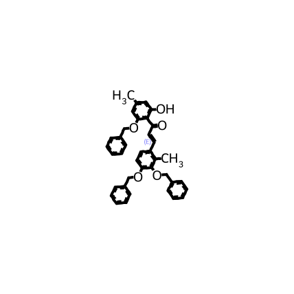 Cc1cc(O)c(C(=O)/C=C/c2ccc(OCc3ccccc3)c(OCc3ccccc3)c2C)c(OCc2ccccc2)c1